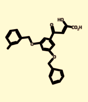 Cc1cccc(COc2cc(OCc3ccccc3)cc(C(=O)/C=C(\O)C(=O)O)c2)c1